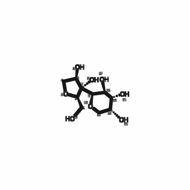 OC[C@H]1O[CH][C@@H](O)[C@@]1(O)[C@@H]1OC[C@@H](O)[C@@H](O)[C@@H]1O